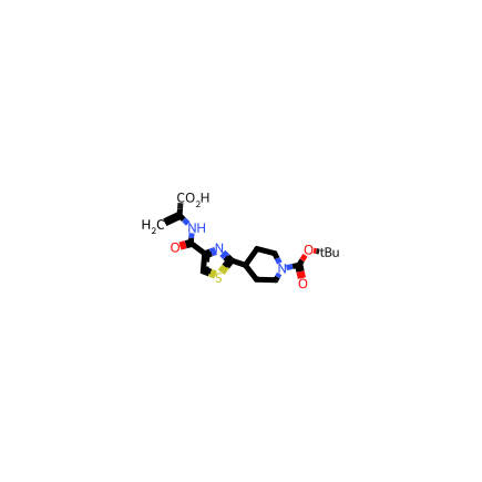 C=C(NC(=O)c1csc(C2CCN(C(=O)OC(C)(C)C)CC2)n1)C(=O)O